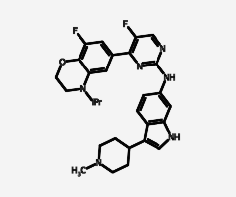 CC(C)N1CCOc2c(F)cc(-c3nc(Nc4ccc5c(C6CCN(C)CC6)c[nH]c5c4)ncc3F)cc21